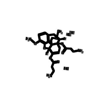 COc1ccc2c3c1O[C@H]1C(OC(=O)CCN)=CC[C@@]4(OC(=O)CCN)[C@@H](C2)N(C)CC[C@]314.Cl.Cl.Cl